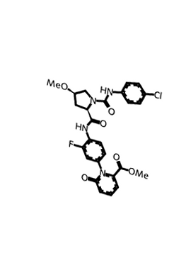 COC(=O)c1cccc(=O)n1-c1ccc(NC(=O)[C@H]2C[C@@H](OC)CN2C(=O)Nc2ccc(Cl)cc2)c(F)c1